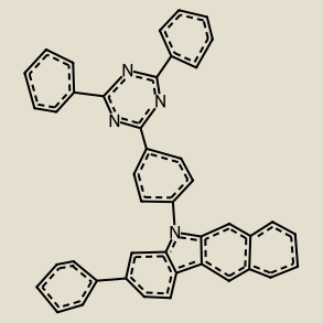 c1ccc(-c2ccc3c4cc5ccccc5cc4n(-c4ccc(-c5nc(-c6ccccc6)nc(-c6ccccc6)n5)cc4)c3c2)cc1